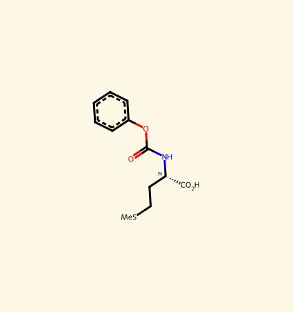 CSCC[C@H](NC(=O)Oc1ccccc1)C(=O)O